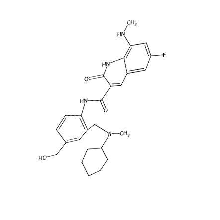 CNc1cc(F)cc2cc(C(=O)Nc3ccc(CO)cc3CN(C)C3CCCCC3)c(=O)[nH]c12